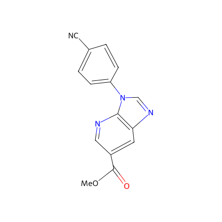 COC(=O)c1cnc2c(c1)ncn2-c1ccc(C#N)cc1